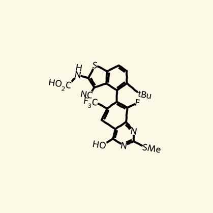 CSc1nc(O)c2cc(C(F)(F)F)c(-c3c(C(C)(C)C)ccc4sc(NC(=O)O)c(C#N)c34)c(F)c2n1